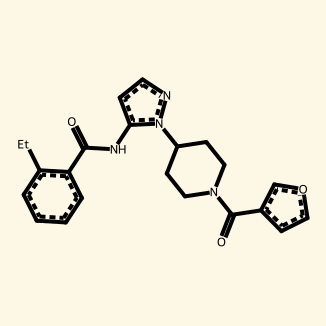 CCc1ccccc1C(=O)Nc1ccnn1C1CCN(C(=O)c2ccoc2)CC1